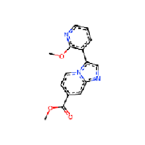 COC(=O)c1ccn2c(-c3cccnc3OC)cnc2c1